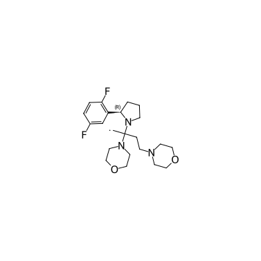 [CH2]C(CCN1CCOCC1)(N1CCOCC1)N1CCC[C@@H]1c1cc(F)ccc1F